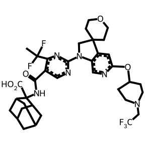 CC(F)(F)c1nc(N2CC3(CCOCC3)c3cc(OC4CCN(CC(F)(F)F)CC4)ncc32)ncc1C(=O)NC1(C(=O)O)C2CC3CC(C2)CC1C3